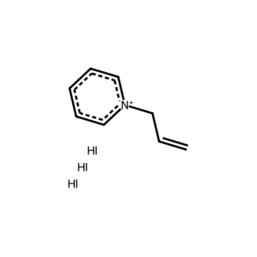 C=CC[n+]1ccccc1.I.I.I